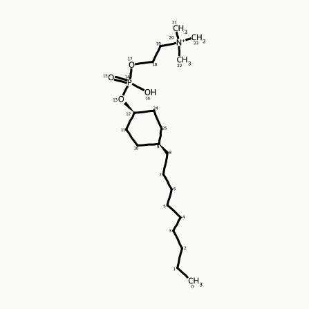 CCCCCCCCC[C@H]1CC[C@@H](OP(=O)(O)OCC[N+](C)(C)C)CC1